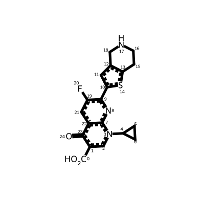 O=C(O)c1cn(C2CC2)c2nc(-c3cc4c(s3)CCNC4)c(F)cc2c1=O